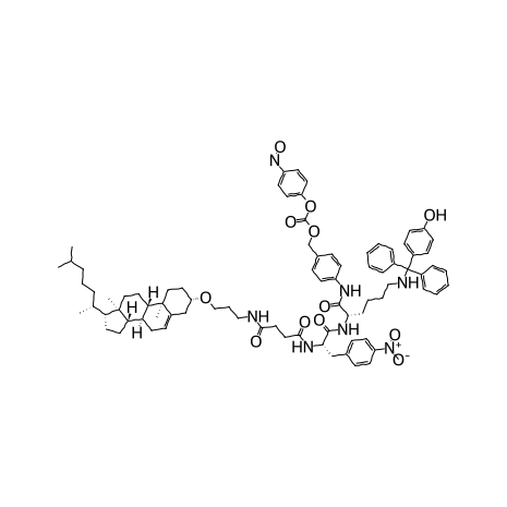 CC(C)CCC[C@@H](C)[C@H]1CC[C@H]2[C@@H]3CC=C4C[C@@H](OCCCNC(=O)CCC(=O)N[C@@H](Cc5ccc([N+](=O)[O-])cc5)C(=O)N[C@@H](CCCCNC(c5ccccc5)(c5ccccc5)c5ccc(O)cc5)C(=O)Nc5ccc(COC(=O)Oc6ccc(N=O)cc6)cc5)CC[C@]4(C)[C@H]3CC[C@]12C